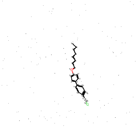 CCCCCCCCOc1ccc(-c2cc[c]([Zn][Cl])cc2)cc1